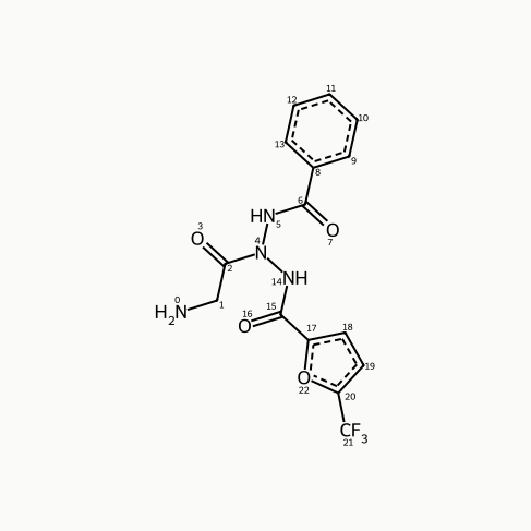 NCC(=O)N(NC(=O)c1ccccc1)NC(=O)c1ccc(C(F)(F)F)o1